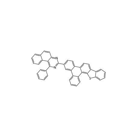 c1ccc(-c2nc(-c3ccc4c(c3)c3ccccc3c3c4ccc4c5ccccc5sc43)nc3ccc4ccccc4c23)cc1